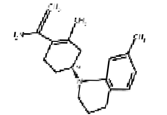 C=C(N)C1=C(C)C[C@@H](N2CCCc3ccc(C)cc32)CC1